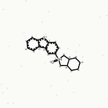 O=[SH]1(c2ccc3sc4ccccc4c3c2)CC2CCCCC2C1